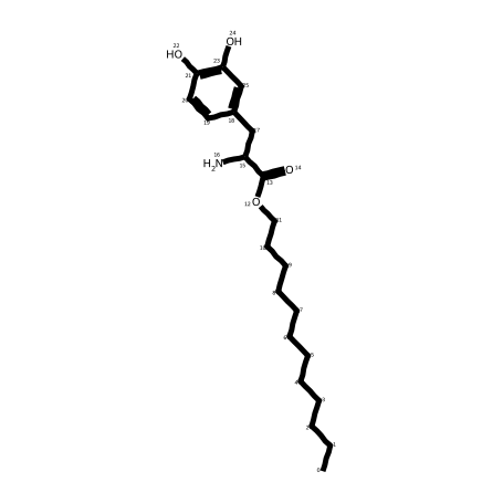 CCCCCCCCCCCCOC(=O)C(N)Cc1ccc(O)c(O)c1